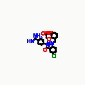 N=C(N)c1ccc(NC(=O)c2cc(Cl)ccc2NCc2cccc(O)c2OCC(=O)O)cc1